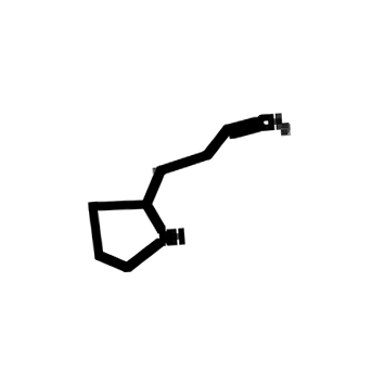 C=CC[CH]C1CCCN1